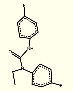 CCN(C(=O)Nc1ccc(Br)cc1)c1ccc(Br)cc1